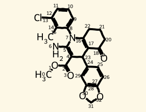 COC(=O)C1=C(N)N(c2cccc(Cl)c2C)C2=C(C(=O)CCC2)C1c1ccc2c(c1)OCO2